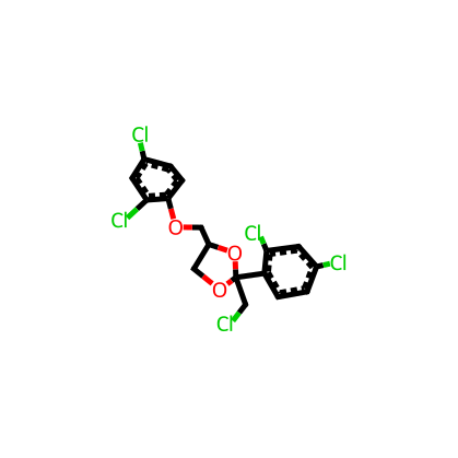 ClCC1(c2ccc(Cl)cc2Cl)OCC(COc2ccc(Cl)cc2Cl)O1